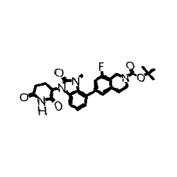 Cn1c(=O)n(C2CCC(=O)NC2=O)c2cccc(-c3cc(F)c4c(c3)CCN(C(=O)OC(C)(C)C)C4)c21